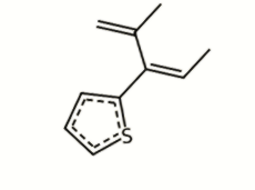 C=C(C)/C(=C\C)c1cccs1